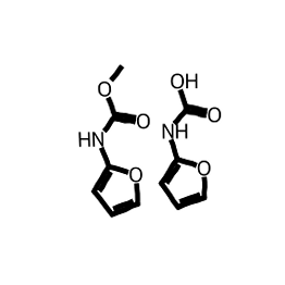 COC(=O)Nc1ccco1.O=C(O)Nc1ccco1